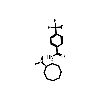 CN(C)[C@@H]1CCCCCC[C@H]1NC(=O)c1ccc(C(F)(F)F)cc1